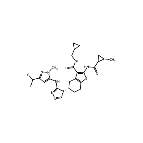 CC1CC1C(=O)Nc1sc2c(c1C(=O)NCC1CC1)C[C@@H](n1cnnc1Nc1cc(C(F)F)nn1C)CC2